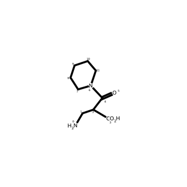 NCC(C(=O)O)C(=O)N1CCCCC1